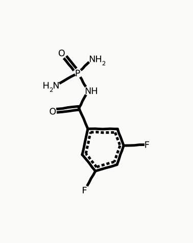 NP(N)(=O)NC(=O)c1cc(F)cc(F)c1